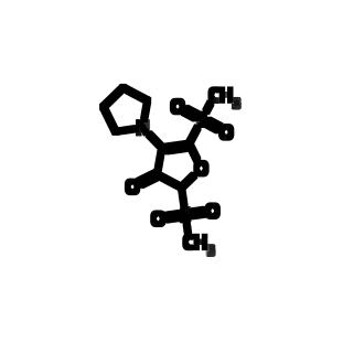 CS(=O)(=O)C1=C(N2CCCC2)C(=O)C(S(C)(=O)=O)O1